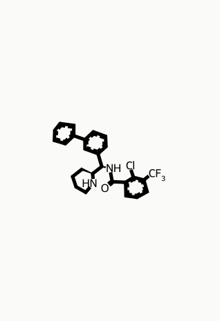 O=C(N[C@@H](c1cccc(-c2ccccc2)c1)[C@@H]1CCCCN1)c1cccc(C(F)(F)F)c1Cl